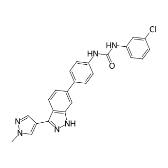 Cn1cc(-c2n[nH]c3cc(-c4ccc(NC(=O)Nc5cccc(Cl)c5)cc4)ccc23)cn1